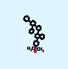 CP(C)(=O)c1ccc(-c2ccc(-c3cccc(-c4ccc(-c5ccccc5)cc4-c4ccccc4)c3)c3ccccc23)cc1